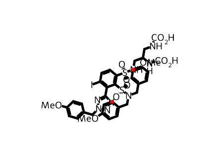 COc1ccc(CN(Cc2ccc(OC)cc2)S(=O)(=O)c2c(S(=O)(=O)NCC(CNC(=O)O)NC(=O)O)ccc(I)c2-c2nnn(Cc3ccc(OC)cc3)n2)cc1